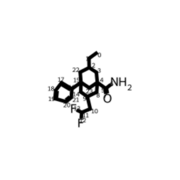 CCC1CC2(C(N)=O)CC(CC(F)F)CC(c3ccccc3)(C1)C2